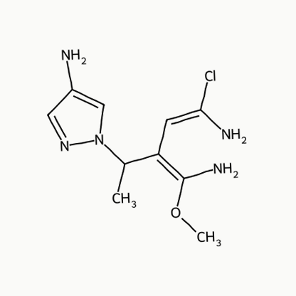 CO/C(N)=C(/C=C(\N)Cl)C(C)n1cc(N)cn1